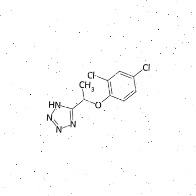 CC(Oc1ccc(Cl)cc1Cl)c1nnn[nH]1